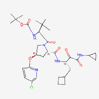 CC(C)(C)OC(=O)NC(C(=O)N1C[C@H](Oc2ccc(Cl)cn2)C[C@H]1C(=O)N[C@@H](CC1CCC1)C(=O)C(=O)NC1CC1)C(C)(C)C